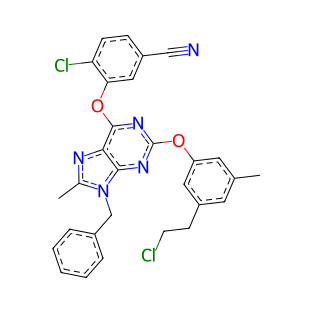 Cc1cc(CCCl)cc(Oc2nc(Oc3cc(C#N)ccc3Cl)c3nc(C)n(Cc4ccccc4)c3n2)c1